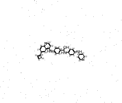 OC(Nc1ccc(Nc2ccncc2)cc1)c1ccc(Nc2ccnc3ccc(C45CC(C4)C5)cc23)cc1